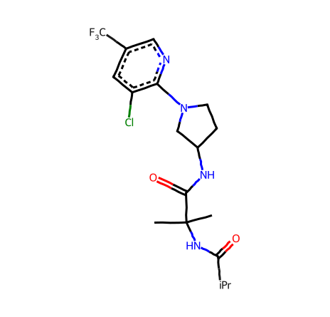 CC(C)C(=O)NC(C)(C)C(=O)NC1CCN(c2ncc(C(F)(F)F)cc2Cl)C1